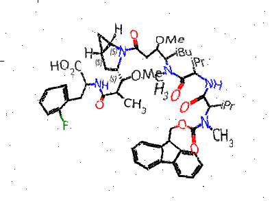 CCC(C)C(C(CC(=O)N1[C@H](C(OC)C(C)C(=O)NC(Cc2ccccc2F)C(=O)O)C[C@@H]2C[C@@H]21)OC)N(C)C(=O)C(NC(=O)C(C(C)C)N(C)C(=O)OCC1c2ccccc2-c2ccccc21)C(C)C